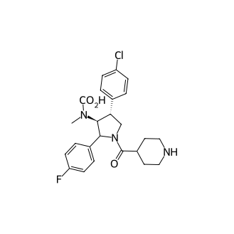 CN(C(=O)O)[C@@H]1C(c2ccc(F)cc2)N(C(=O)C2CCNCC2)C[C@H]1c1ccc(Cl)cc1